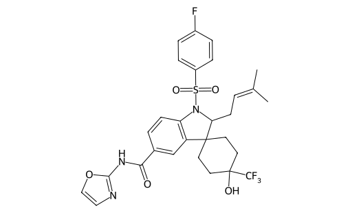 CC(C)=CCC1N(S(=O)(=O)c2ccc(F)cc2)c2ccc(C(=O)Nc3ncco3)cc2C12CCC(O)(C(F)(F)F)CC2